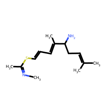 C/N=C(/C)S/C=C/C=C(\C)C(N)CC=C(C)C